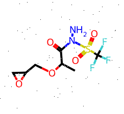 CC(OCC1CO1)C(=O)N(N)S(=O)(=O)C(F)(F)F